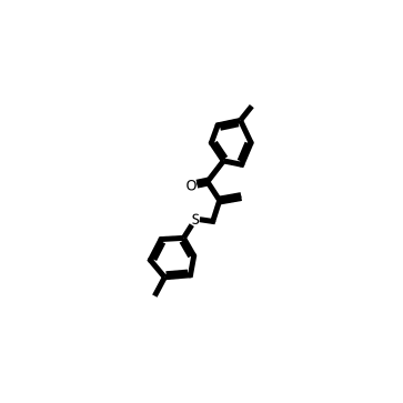 C=C(CSc1ccc(C)cc1)C(=O)c1ccc(C)cc1